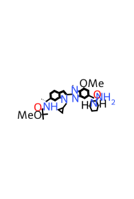 COc1cc(C(=O)N2[C@H]3CC[C@@H]2[C@H](N)C3)cc2nc(-c3cc4ccc([C@@H](C)NC(=O)C(C)(C)OC)cc4n3CC3CC3)n(C)c12